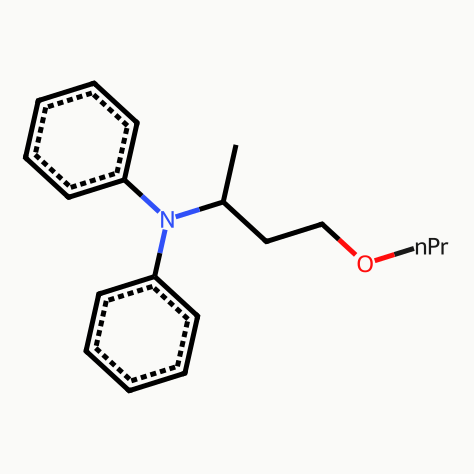 CCCOCCC(C)N(c1ccccc1)c1ccccc1